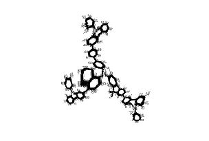 CC1(C)c2cc(-c3ccc4c(c3)c3ccccc3n4-c3ccccc3)ccc2-c2ccc(N(c3ccc(-c4ccc(-c5ccc6c(c5)c5ccccc5n6-c5ccccc5)cc4)cc3)c3ccc(-c4ccc5c6ccccc6n(-c6ccccc6)c5c4)c4ccccc34)cc21